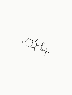 CC1C2CNCC(C2)C(C)N1C(=O)OC(C)(C)C